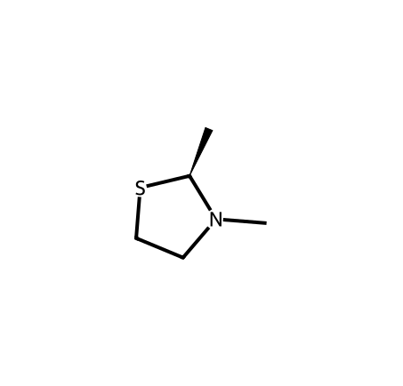 C[C@@H]1SCCN1C